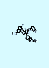 CCNc1cc2n(n1)CCCN(c1nc(OC[C@@]34CCCN3C[C@H](F)C4)nc3c1CCN(c1cc(O)cc4ccc(F)c(CC)c14)C3)C2